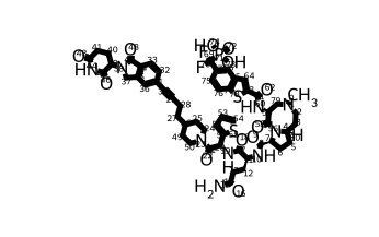 CN1CC[C@H]2CC[C@@H](C(=O)N[C@@H](CCC(N)=O)C(=O)N[C@H](C(=O)N3CCC(CCC#Cc4ccc5c(c4)CN(C4CCC(=O)NC4=O)C5=O)CC3)c3cccs3)N2C(=O)[C@@H](NC(=O)c2cc3cc(C(F)(F)P(=O)(O)O)ccc3s2)C1